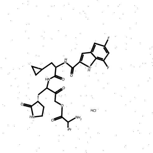 CC(C)C(N)C(=O)OCC(=O)C(C[C@@H]1CCNC1=O)NC(=O)C(CC1CC1)NC(=O)c1cc2cc(F)cc(F)c2[nH]1.Cl